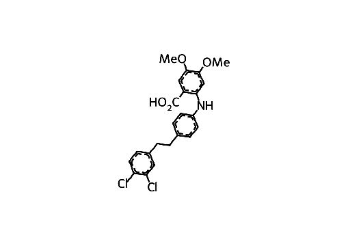 COc1cc(Nc2ccc(CCc3ccc(Cl)c(Cl)c3)cc2)c(C(=O)O)cc1OC